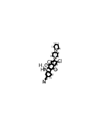 CC1(C)c2cc(N3CCC(N4CCCC4)CC3)c(Cl)cc2C(=O)c2c1[nH]c1cc(C#N)ccc21